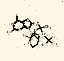 CC(C)(C)C[C@]12CCO[C@@H](C1OC(C)(C)C)[C@H](n1cnc3c(=O)[nH]c(N)nc31)O2